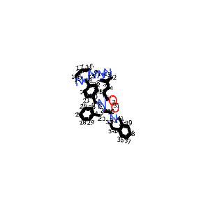 Cn1cc(/C=C/C(=O)N(Cc2ccc(-c3ncccn3)cc2)[C@@H](Cc2ccccc2)C(=O)N2CCc3ccccc3C2)cn1